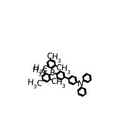 Cc1cc(C)c(B(c2ccc(-c3ccc(N(c4ccccc4)c4ccccc4)cc3)cc2)c2c(C)cc(C)cc2C)c(C)c1